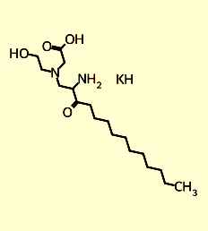 CCCCCCCCCCCC(=O)C(N)CN(CCO)CC(=O)O.[KH]